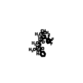 CC(=O)N[C@H](C(=O)NC[C@H](C)NC(=O)[C@@H]1CN(C(C)(C)C)C[C@H]1c1ccc(F)c(F)c1F)C1CCCCC1